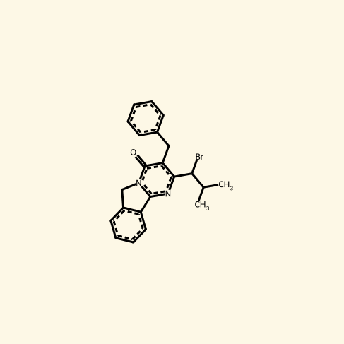 CC(C)C(Br)c1nc2n(c(=O)c1Cc1ccccc1)Cc1ccccc1-2